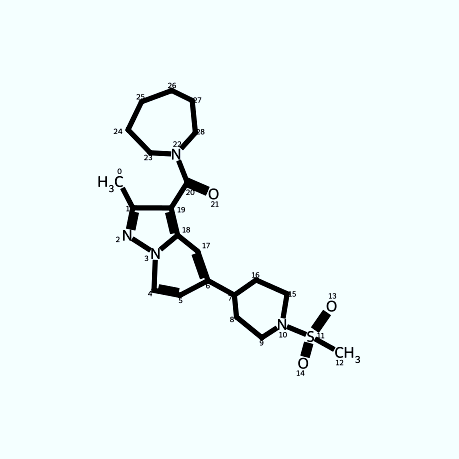 Cc1nn2ccc(C3CCN(S(C)(=O)=O)CC3)cc2c1C(=O)N1CCCCCC1